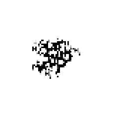 CC1(C)CCC(CC(C#N)NC(=O)C(CC2(C)CC2(F)F)NC(=O)C(NC(=O)C(F)(F)F)C(C)(C)C)C(=O)N1